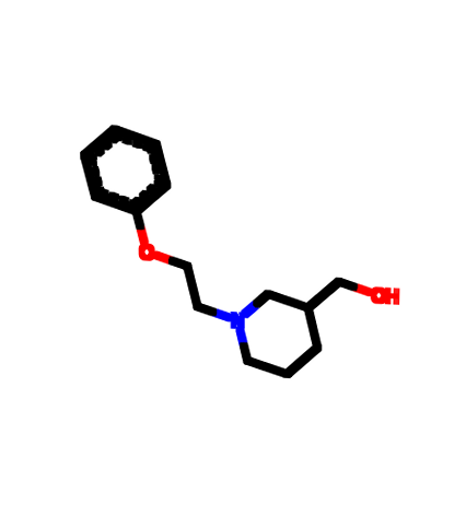 OCC1CCCN(CCOc2ccccc2)C1